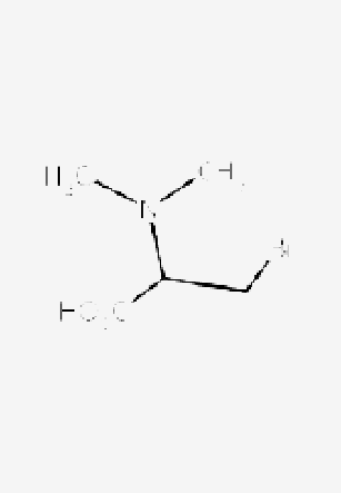 CN(C)C(CBr)C(=O)O